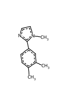 Cc1ccc(-c2nccn2C)cc1C